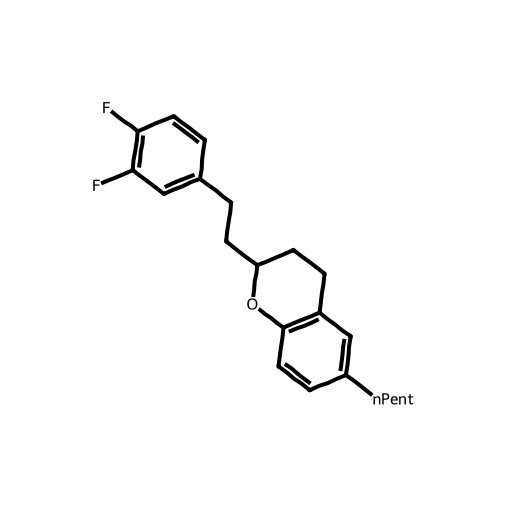 CCCCCc1ccc2c(c1)CCC(CCc1ccc(F)c(F)c1)O2